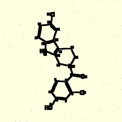 O=C(c1ccc(O)cc1Cl)N1CCc2c([nH]c3ccc(Cl)cc23)C1